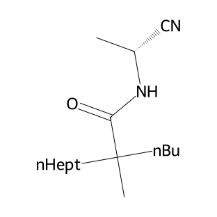 CCCCCCCC(C)(CCCC)C(=O)N[C@H](C)C#N